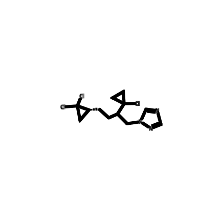 ClC1(C(CC[C@@H]2CC2(Cl)Cl)Cn2cncn2)CC1